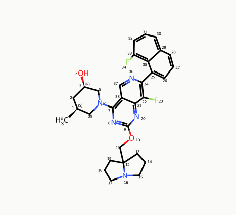 C[C@H]1C[C@@H](O)CN(c2nc(OCC34CCCN3CCC4)nc3c(F)c(-c4cccc5cccc(F)c45)ncc23)C1